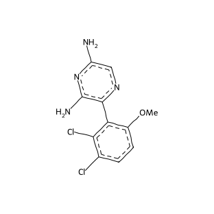 COc1ccc(Cl)c(Cl)c1-c1ncc(N)nc1N